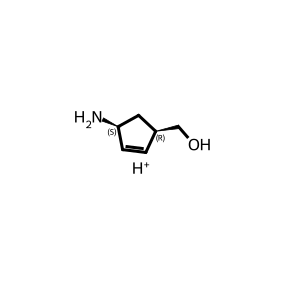 N[C@@H]1C=C[C@H](CO)C1.[H+]